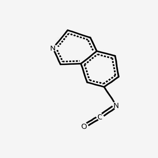 O=C=Nc1ccc2ccncc2c1